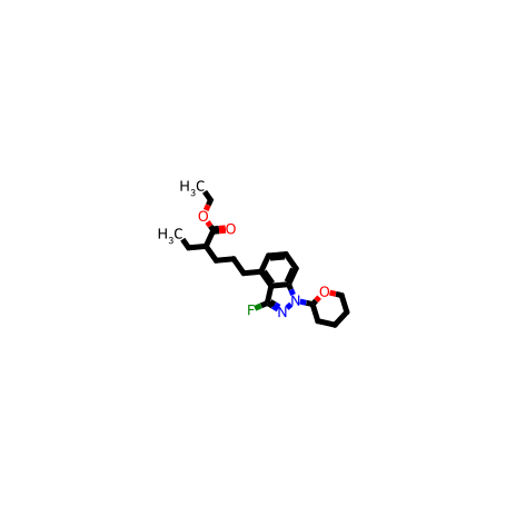 CCOC(=O)C(CC)CCCc1cccc2c1c(F)nn2C1CCCCO1